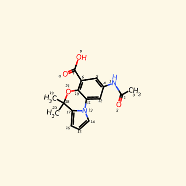 CC(=O)Nc1cc(C(=O)O)c2c(c1)-n1cccc1C(C)(C)O2